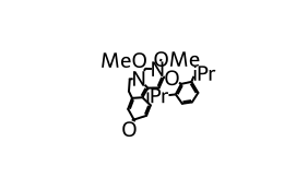 COC1N2CCC3=CC(=O)C=CC3=C2C=C(Oc2c(C(C)C)cccc2C(C)C)N1OC